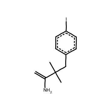 C=C(N)C(C)(C)Cc1ccc(I)cc1